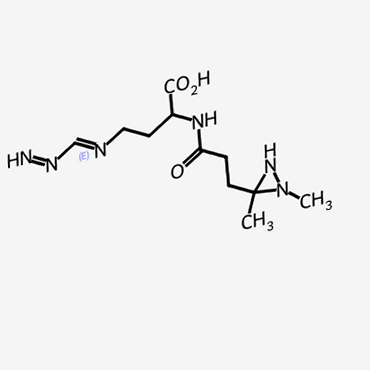 CN1NC1(C)CCC(=O)NC(CC/N=C/N=N)C(=O)O